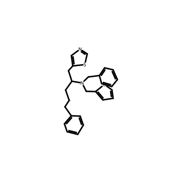 [CH](Cc1ccccc1)CC(Cc1cncs1)N(Cc1ccccc1)Cc1ccco1